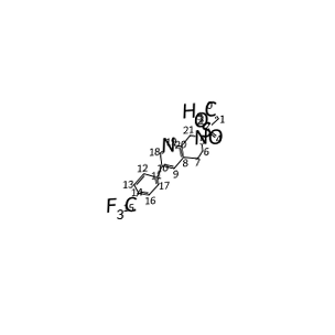 C=CS(=O)(=O)N1CCc2cc(-c3ccc(C(F)(F)F)cc3)cnc2C1